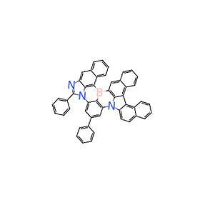 c1ccc(-c2cc3c4c(c2)-n2c5ccc6ccccc6c5c5c6ccccc6cc(c52)B4c2c4ccccc4cc4nc(-c5ccccc5)n-3c24)cc1